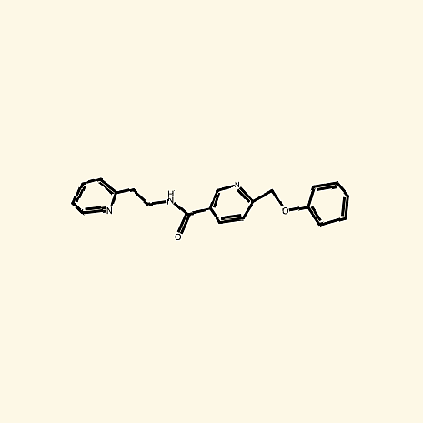 O=C(NCCc1ccccn1)c1ccc(COc2ccccc2)nc1